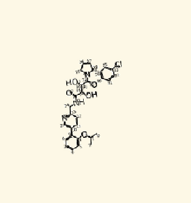 CC(C)Oc1ccccc1-c1ccc(CNC(=O)[C@H](O)[C@@H](O)C(=O)N2CCC[C@@H]2c2cccc(Cl)c2)nc1